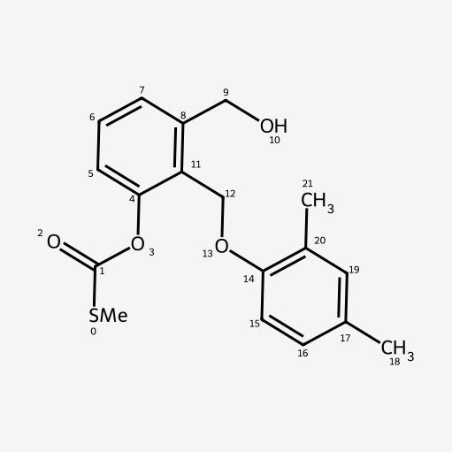 CSC(=O)Oc1cccc(CO)c1COc1ccc(C)cc1C